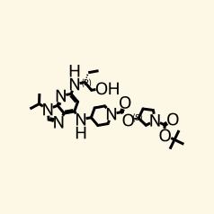 CC[C@H](CO)Nc1cc(NC2CCN(C(=O)O[C@H]3CCN(C(=O)OC(C)(C)C)C3)CC2)c2ncn(C(C)C)c2n1